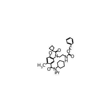 Cc1cc2c(cc1C(=O)N(C(C)C)C1CCCCC1)N(CCNC(=O)OCc1ccccc1)C(=O)C1(CCC1)O2